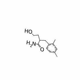 Cc1ccc(CC(CCO)C(N)=O)c(C)c1